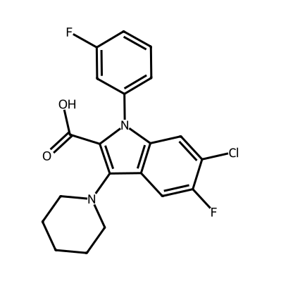 O=C(O)c1c(N2CCCCC2)c2cc(F)c(Cl)cc2n1-c1cccc(F)c1